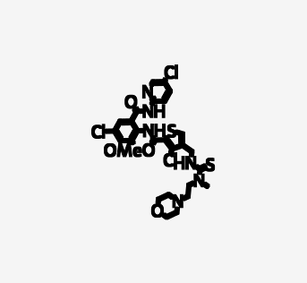 COc1cc(Cl)cc(C(=O)Nc2ccc(Cl)cn2)c1NC(=O)c1scc(CNC(=S)N(C)CCN2CCOCC2)c1Cl